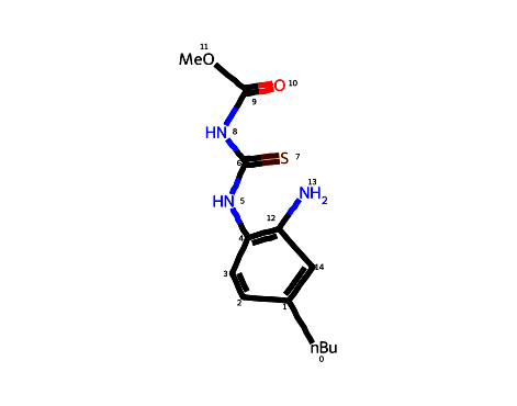 CCCCc1ccc(NC(=S)NC(=O)OC)c(N)c1